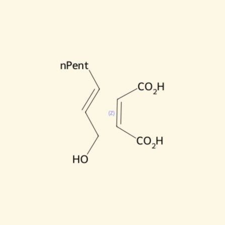 CCCCCC=CCO.O=C(O)/C=C\C(=O)O